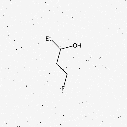 [CH2]CC(O)CCF